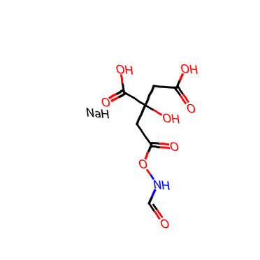 O=CNOC(=O)CC(O)(CC(=O)O)C(=O)O.[NaH]